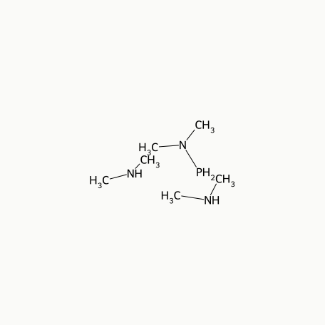 CN(C)P.CNC.CNC